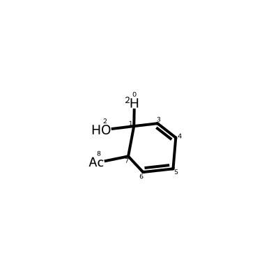 [2H]C1(O)C=CC=CC1C(C)=O